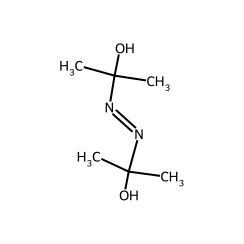 CC(C)(O)N=NC(C)(C)O